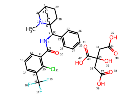 CN1CC2CCC1([C@H](NC(=O)c1cccc(C(F)(F)F)c1Cl)c1ccccc1)CC2.O=C(O)CC(O)(CC(=O)O)C(=O)O